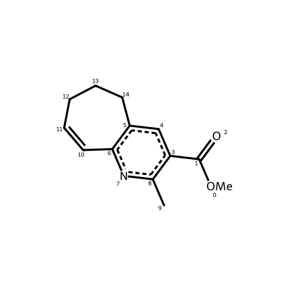 COC(=O)c1cc2c(nc1C)C=CCCC2